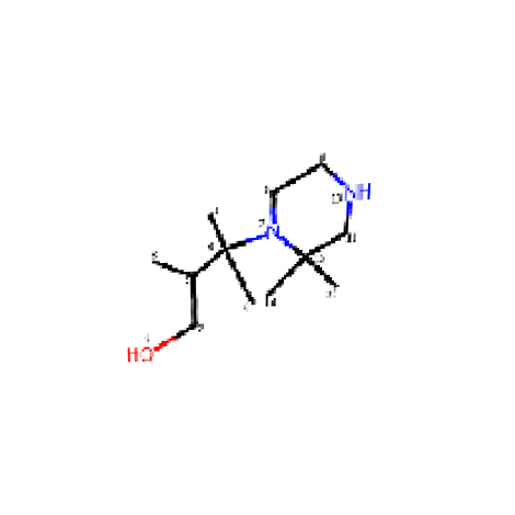 CC(CO)C(C)(C)N1CCNCC1(C)C